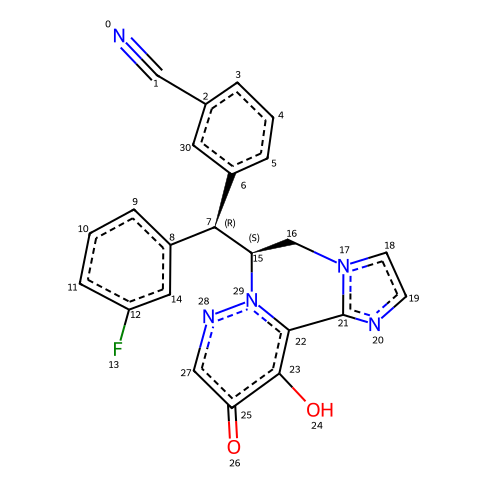 N#Cc1cccc([C@H](c2cccc(F)c2)[C@H]2Cn3ccnc3-c3c(O)c(=O)cnn32)c1